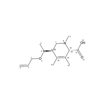 C=CCON(C)[C@H]1CN(C)[C@H](C(=O)O)C(C)=C1C